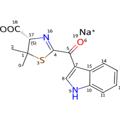 CC1(C)SC(C(=O)c2c[nH]c3ccccc23)=N[C@H]1C(=O)[O-].[Na+]